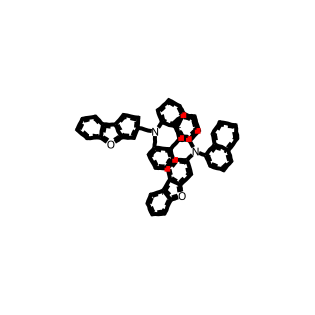 c1ccc(N(c2ccc3c(c2)oc2ccccc23)c2cccc3ccccc23)c(-c2ccccc2N(c2ccc3c(c2)oc2ccccc23)c2cccc3ccccc23)c1